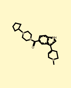 CN1CC=C(c2c[nH]c3ccc(C(=O)N4CCN(C5CCCC5)CC4)cc23)CC1